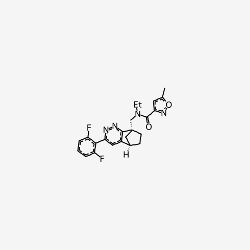 CCN(C[C@]12CC[C@H](C1)c1cc(-c3c(F)cccc3F)nnc12)C(=O)c1cc(C)on1